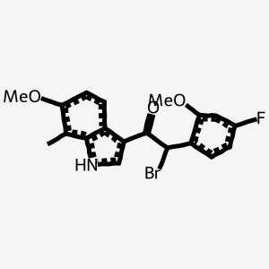 COc1cc(F)ccc1C(Br)C(=O)c1c[nH]c2c(C)c(OC)ccc12